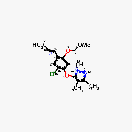 COCOc1cc(Oc2c(C)c(C)nn2C)c(Cl)cc1/C=C/C(=O)O